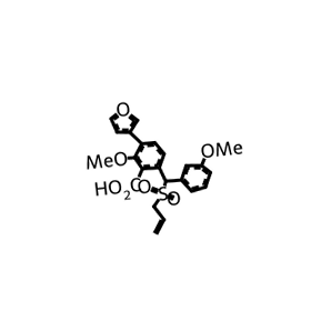 C=CCS(=O)(=O)C(c1cccc(OC)c1)c1ccc(-c2ccoc2)c(OC)c1C(=O)O